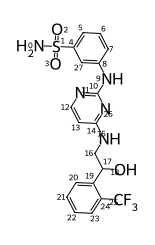 NS(=O)(=O)c1cccc(Nc2nccc(NCC(O)c3ccccc3C(F)(F)F)n2)c1